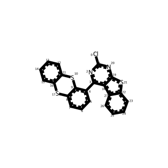 Clc1nc(-c2cccc3c2Sc2ccccc2S3)c2c(n1)sc1ccccc12